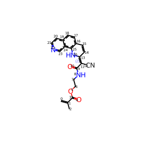 C=C(C)C(=O)OCCNC(=O)/C(C#N)=C1/C=Cc2ccc3ccncc3c2N1